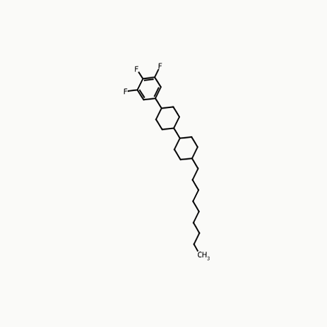 CCCCCCCCCC1CCC(C2CCC(c3cc(F)c(F)c(F)c3)CC2)CC1